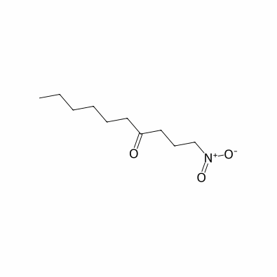 CCCCCCC(=O)CCC[N+](=O)[O-]